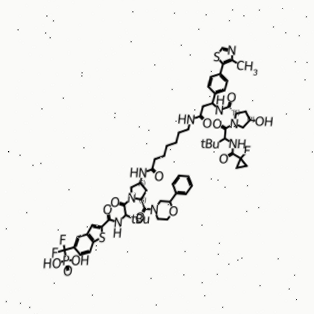 Cc1ncsc1-c1ccc(C(CC(=O)NCCCCCCC(=O)N[C@H]2C[C@@H](C(=O)N3CCOC(c4ccccc4)C3)N(C(=O)C(NC(=O)c3cc4cc(C(F)(F)P(=O)(O)O)ccc4s3)C(C)(C)C)C2)NC(=O)[C@@H]2C[C@@H](O)CN2C(=O)C(NC(=O)C2(F)CC2)C(C)(C)C)cc1